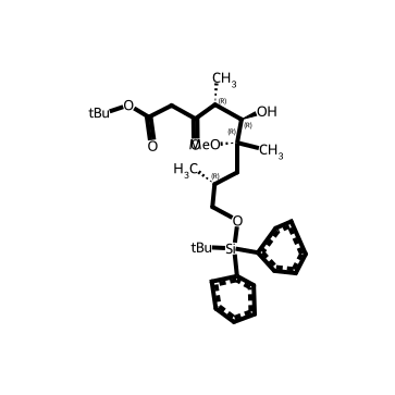 CO[C@](C)(C[C@@H](C)CO[Si](c1ccccc1)(c1ccccc1)C(C)(C)C)[C@H](O)[C@@H](C)C(=O)CC(=O)OC(C)(C)C